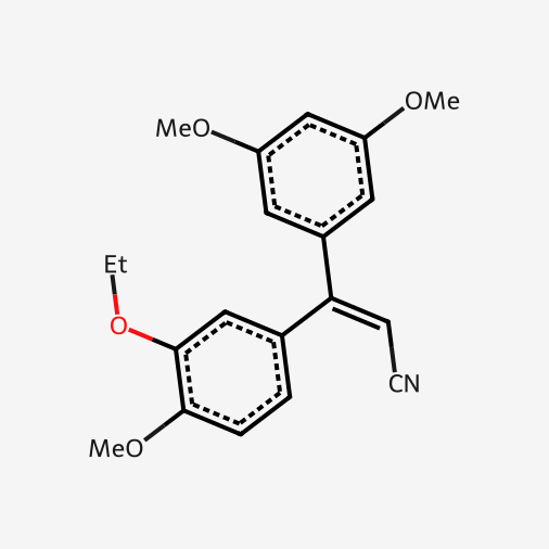 CCOc1cc(/C(=C\C#N)c2cc(OC)cc(OC)c2)ccc1OC